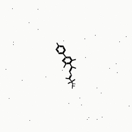 C/C(=C\C=C(/C)C(C)(C)F)c1c(C)cc(-c2ccc(C)cc2)cc1C